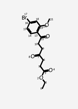 CCOC(=O)CCC(=O)CCC(=O)c1ccc(Br)cc1OC